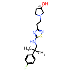 CC(C)(CNc1nc(CCN2CC[C@@H](O)C2)ns1)c1ccc(F)cc1